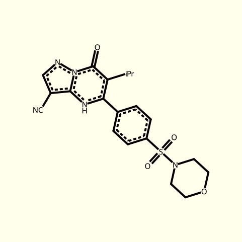 CC(C)c1c(-c2ccc(S(=O)(=O)N3CCOCC3)cc2)[nH]c2c(C#N)cnn2c1=O